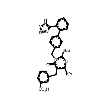 CCCCc1nc(CCC)c(Cc2cccc(C(=O)O)c2)c(=O)n1Cc1ccc(-c2ccccc2-c2nnn[nH]2)cc1